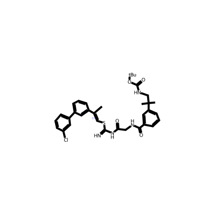 C/C(=C\SC(=N)NC(=O)CNC(=O)c1cccc(C(C)(C)CNC(=O)OC(C)(C)C)c1)c1cccc(-c2cccc(Cl)c2)c1